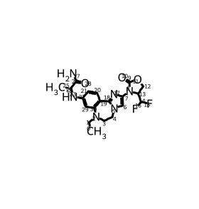 CCN1CCn2cc(N3C(=O)OCC3C(F)F)nc2-c2ccc(N[C@@H](C)C(N)=O)cc21